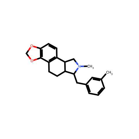 Cc1cccc(CC2C3CCc4c(ccc5c4OCO5)C3CN2C)c1